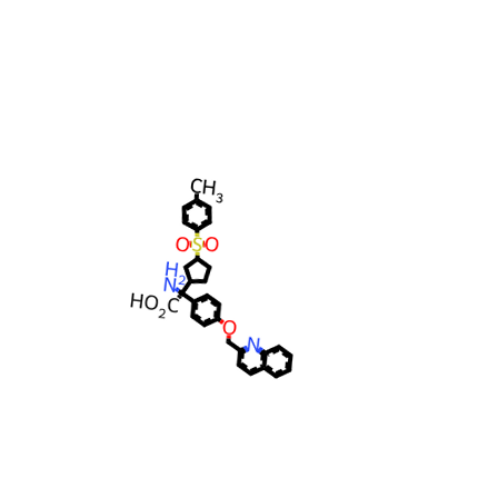 Cc1ccc(S(=O)(=O)C2CCC(C(N)(C(=O)O)c3ccc(OCc4ccc5ccccc5n4)cc3)C2)cc1